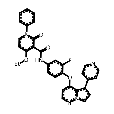 CCOc1ccn(-c2ccccc2)c(=O)c1C(=O)Nc1ccc(Oc2ccnn3ccc(-c4ccncc4)c23)c(F)c1